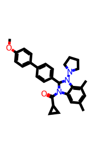 COc1ccc(-c2ccc(C3N(C(=O)C4CC4)c4cc(C)cc(C)c4N3N3CCCC3)cc2)cc1